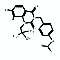 CC(C)(O)Cn1c(=O)n(Cc2ccc(OC(F)F)cc2)c(=O)c2ccc(Cl)c(F)c21